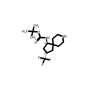 CC(C)(C)OC(=O)N[C@@H]1C[C@@H](C(F)(F)F)CC12CCNCC2